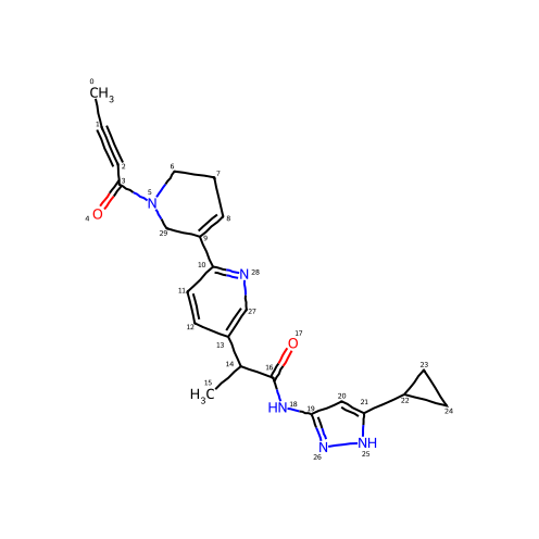 CC#CC(=O)N1CCC=C(c2ccc(C(C)C(=O)Nc3cc(C4CC4)[nH]n3)cn2)C1